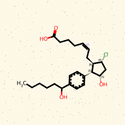 CCCCCC(O)c1ccc([C@@H]2[C@@H](C/C=C\CCCC(=O)O)[C@H](Cl)C[C@@H]2O)cc1